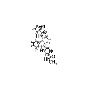 CNC(=O)c1cc2nc(-c3ncccc3F)n([C@H]3CCC[C@@H](NC(=O)C4=CC=C[SH]4Cl)C3)c2cn1